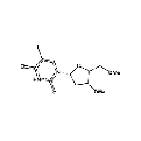 COCC1O[C@@H](n2cc(I)c(=O)[nH]c2=O)CC1OC